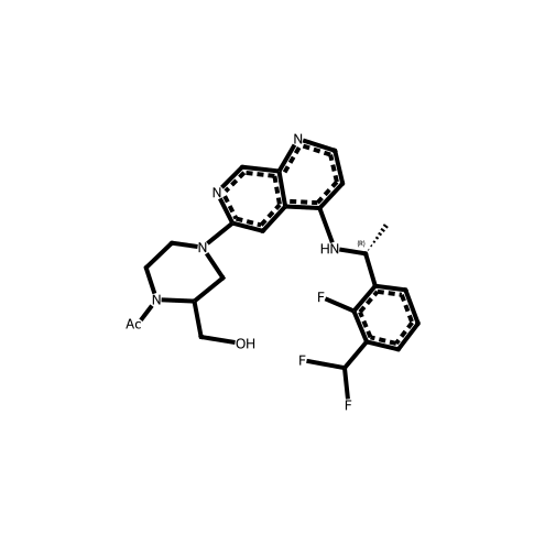 CC(=O)N1CCN(c2cc3c(N[C@H](C)c4cccc(C(F)F)c4F)ccnc3cn2)CC1CO